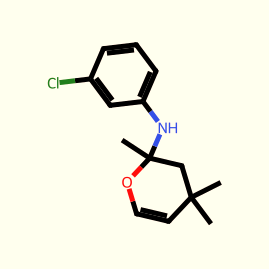 CC1(C)C=COC(C)(Nc2cccc(Cl)c2)C1